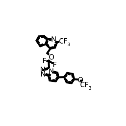 FC(F)(F)Oc1ccc(-c2ccc3nnc(C(F)(F)OCc4cc(C(F)(F)F)nc5ccccc45)n3c2)cc1